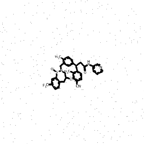 Cc1ccc(C(CC(=O)Nc2cccnc2)c2ccc(C#N)cc2C)cc1CN1CC(C)Cc2ccc(C(F)(F)F)cc2[S+]1[O-]